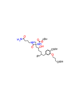 CCCCOC(=O)N[C@](C)(C[C@@H](O)CC[C@@H](Cc1ccc(OC)c(OCCCOC)c1)C(C)C)C(=O)NCCCC(N)=O